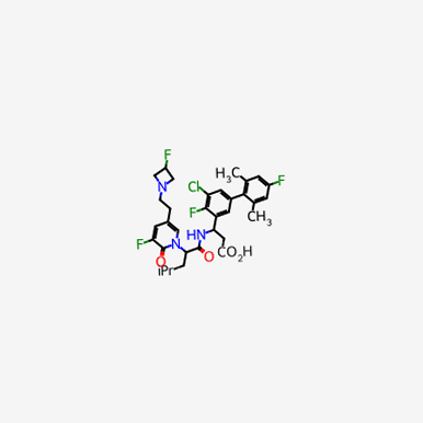 Cc1cc(F)cc(C)c1-c1cc(Cl)c(F)c(C(CC(=O)O)NC(=O)C(CC(C)C)n2cc(CCN3CC(F)C3)cc(F)c2=O)c1